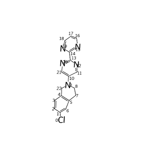 Clc1ccc2c(c1)CCN(c1cnc(-c3ncccn3)nc1)C2